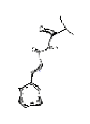 CC(C)C(=O)NC(=O)/C=C/c1ccccc1